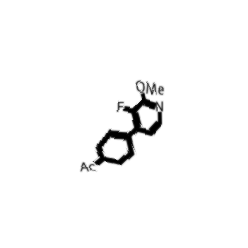 COc1nccc(C2=CCC(C(C)=O)CC2)c1F